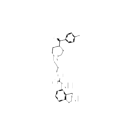 O=C(Nc1cccc2c1CNC2)OCCCN1CCC(C(=O)c2ccc(I)cc2)CC1